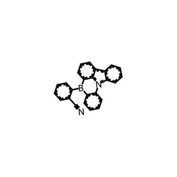 N#Cc1ccccc1B1c2ccccc2-n2c3ccccc3c3cccc1c32